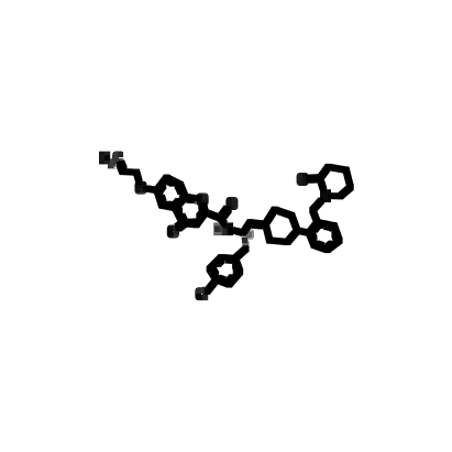 C=CCOc1ccc2oc(C(=O)N[C@H](C=C3CCC(c4ccccc4CN4CCCCC4=O)CC3)Cc3ccc(Cl)cc3)cc(=O)c2c1